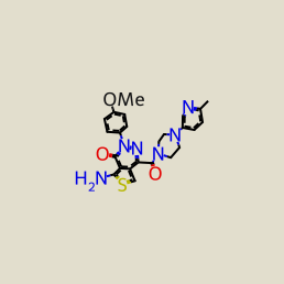 COc1ccc(-n2nc(C(=O)N3CCN(c4ccc(C)nc4)CC3)c3csc(N)c3c2=O)cc1